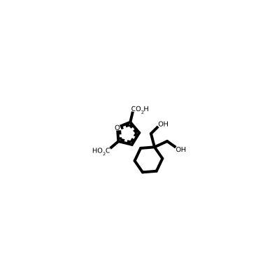 O=C(O)c1ccc(C(=O)O)o1.OCC1(CO)CCCCC1